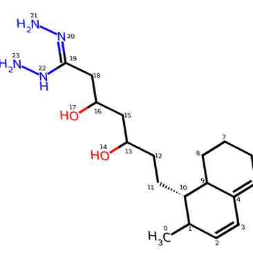 CC1C=CC2=CCCCC2[C@H]1CCC(O)CC(O)C/C(=N/N)NN